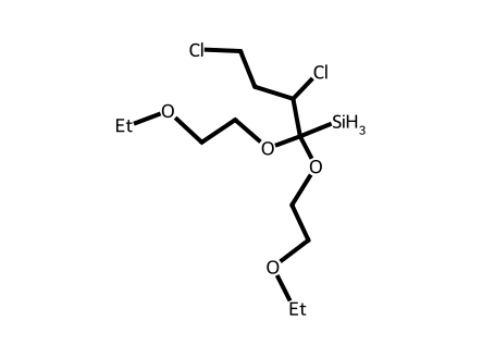 CCOCCOC([SiH3])(OCCOCC)C(Cl)CCCl